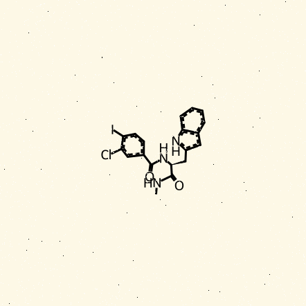 CNC(=O)[C@H](Cc1cc2ccccc2[nH]1)NC(=O)c1ccc(I)c(Cl)c1